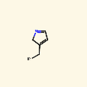 CC(C)CC1=CC=NC1